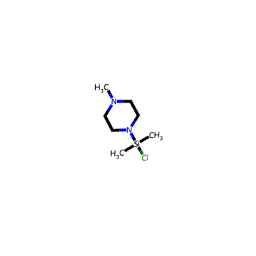 CN1CCN([Si](C)(C)Cl)CC1